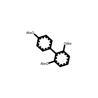 COc1ccc(-c2c(OC)cccc2OC)cc1